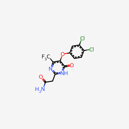 NC(=O)Cc1nc(C(F)(F)F)c(Oc2ccc(Cl)c(Cl)c2)c(=O)[nH]1